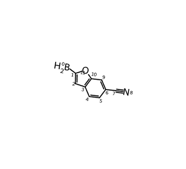 Bc1cc2ccc(C#N)cc2o1